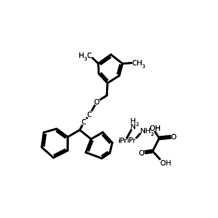 CC(C)N.CC(C)N.Cc1cc(C)cc(COCCC(c2ccccc2)c2ccccc2)c1.O=C(O)C(=O)O